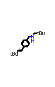 CC(C)(C)/C=C/c1ccc(CNCC(C)(C)C)cc1